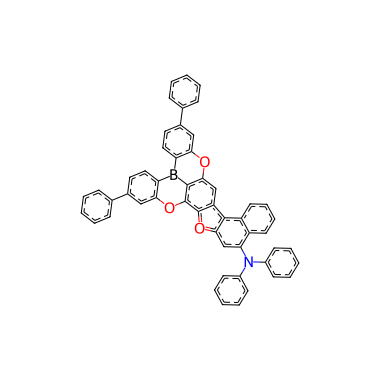 c1ccc(-c2ccc3c(c2)Oc2cc4c(oc5cc(N(c6ccccc6)c6ccccc6)c6ccccc6c54)c4c2B3c2ccc(-c3ccccc3)cc2O4)cc1